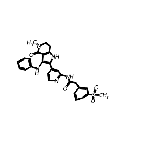 CN1CCc2[nH]c(-c3ccnc(NC(=O)Cc4cccc(S(C)(=O)=O)c4)c3)c(Nc3ccccc3)c2C1=O